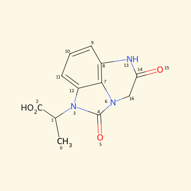 CC(C(=O)O)n1c(=O)n2c3c(cccc31)NC(=O)C2